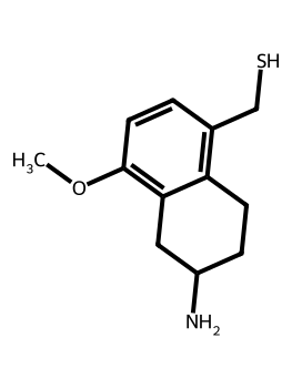 COc1ccc(CS)c2c1CC(N)CC2